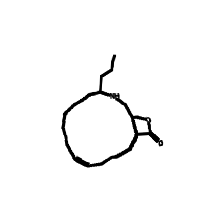 CCCC1CCCCC/C=C\CCCC2C(=O)OC2CN1